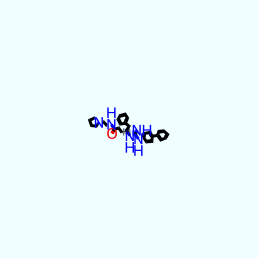 N=C(Nc1ccc(-c2ccccc2)cc1)N[C@H](CCC(=O)NCCN1CCCC1)Cc1ccccc1